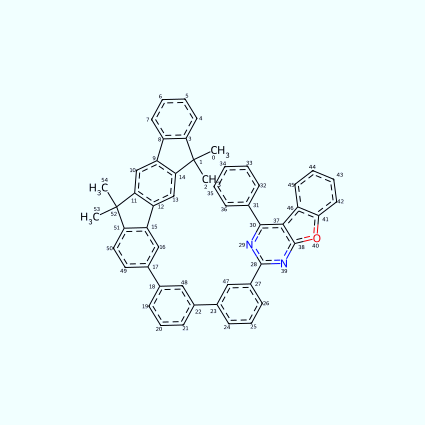 CC1(C)c2ccccc2-c2cc3c(cc21)-c1cc(-c2cccc(-c4cccc(-c5nc(-c6ccccc6)c6c(n5)oc5ccccc56)c4)c2)ccc1C3(C)C